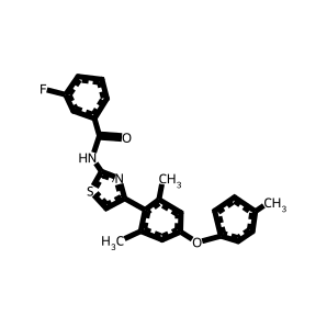 Cc1ccc(Oc2cc(C)c(-c3csc(NC(=O)c4cccc(F)c4)n3)c(C)c2)cc1